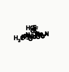 CN1CCc2nc(NC(=O)c3cccc([C@H]4CCCN4C(=O)N4CCc5c(C#N)cccc54)c3)sc2C1.O=C(O)C(F)(F)F